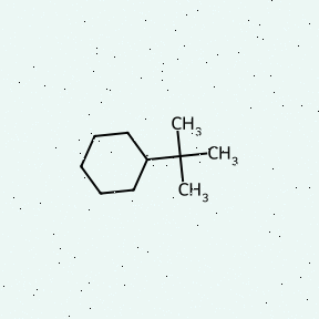 CC(C)(C)[C]1CCCCC1